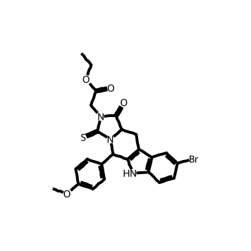 CCOC(=O)CN1C(=O)C2Cc3c([nH]c4ccc(Br)cc34)C(c3ccc(OC)cc3)N2C1=S